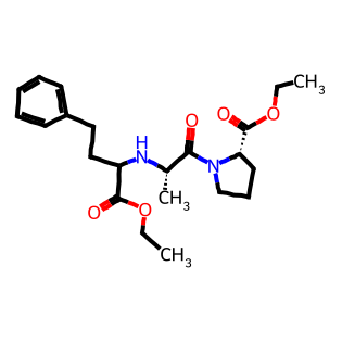 CCOC(=O)C(CCc1ccccc1)N[C@@H](C)C(=O)N1CCC[C@H]1C(=O)OCC